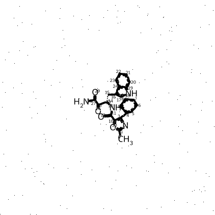 Cc1nc(-c2ccccc2)c(C(=O)N[C@@H](Cc2c[nH]c3ccccc23)C(=O)C(N)=O)o1